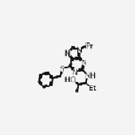 CC[C@H](Nc1nc(SCc2ccccc2)c2ncn(C(C)C)c2n1)C(C)O